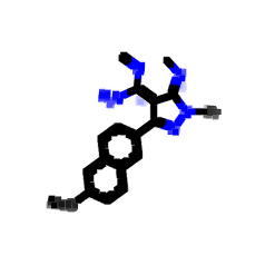 C=N/C(N)=C1/C(c2ccc3cc(OC)ccc3c2)=NN(C(C)C)/C1=N/C